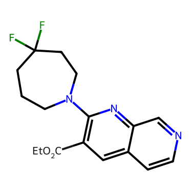 CCOC(=O)c1cc2ccncc2nc1N1CCCC(F)(F)CC1